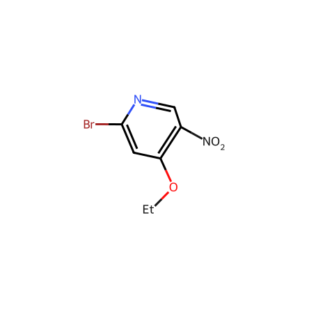 CCOc1cc(Br)ncc1[N+](=O)[O-]